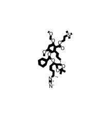 COCOc1cc(OC)cc(/C=C/C[C@@H]2OC(C)(C)OC2C(/C=C\C[C@H](C)N=[N+]=[N-])OC(=O)c2ccccc2)c1C(=O)OCC[Si](C)(C)C